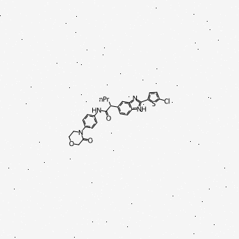 CCCC(C(=O)Nc1ccc(N2CCOCC2=O)cc1)c1ccc2[nH]c(-c3ccc(Cl)s3)nc2c1